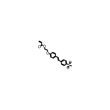 C=CC(=O)OCCOc1ccc(/C=C/c2ccc(S(C)(=O)=O)cc2)cc1